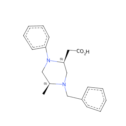 C[C@H]1CN(c2ccccc2)[C@@H](CC(=O)O)CN1Cc1ccccc1